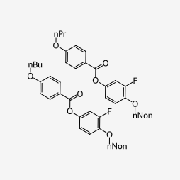 CCCCCCCCCOc1ccc(OC(=O)c2ccc(OCCC)cc2)cc1F.CCCCCCCCCOc1ccc(OC(=O)c2ccc(OCCCC)cc2)cc1F